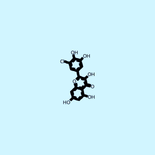 O=c1c(O)c(-c2cc(O)c(O)c(Cl)c2)oc2cc(O)cc(O)c12